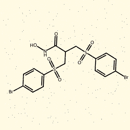 O=C(NO)C(CS(=O)(=O)c1ccc(Br)cc1)CS(=O)(=O)c1ccc(Br)cc1